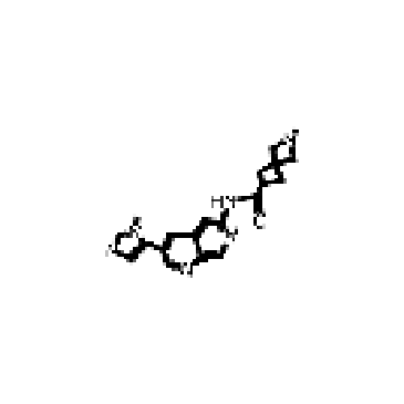 CN1CC2(CC(C(=O)Nc3cc4cc(-c5cncn5C)cnc4cn3)C2)C1